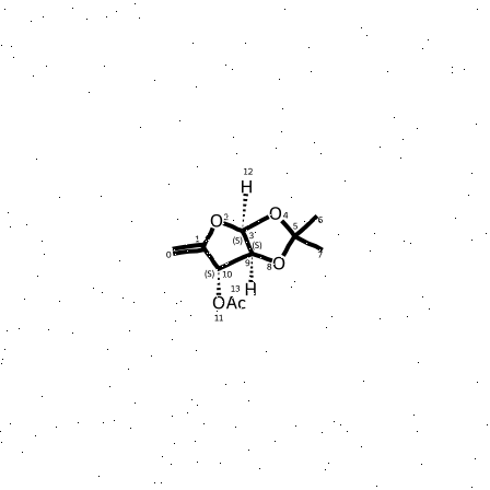 C=C1O[C@H]2OC(C)(C)O[C@H]2[C@@H]1OC(C)=O